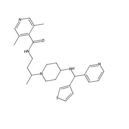 Cc1cncc(C)c1C(=O)NCCC(C)N1CCC(NC(c2cccnc2)c2ccsc2)CC1